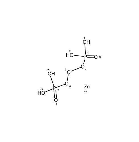 O=P(O)(O)OOOP(=O)(O)O.[Zn]